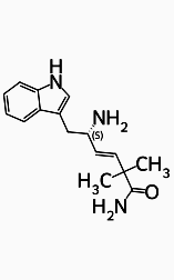 CC(C)(C=C[C@@H](N)Cc1c[nH]c2ccccc12)C(N)=O